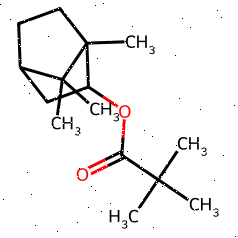 CC(C)(C)C(=O)OC1CC2CCC1(C)C2(C)C